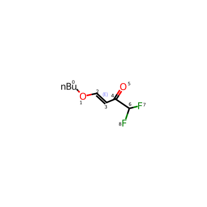 CCCCO/C=C/C(=O)C(F)F